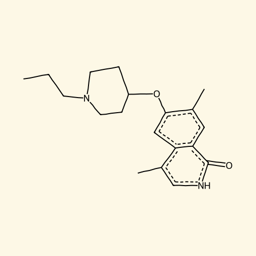 CCCN1CCC(Oc2cc3c(C)c[nH]c(=O)c3cc2C)CC1